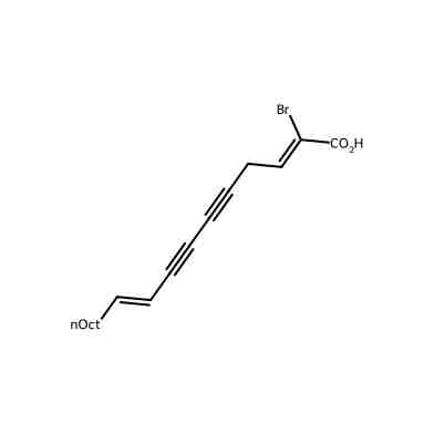 CCCCCCCCC=CC#CC#CCC=C(Br)C(=O)O